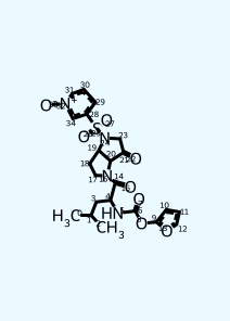 CC(C)CC(NC(=O)Oc1ccco1)C(=O)N1CCC2C1C(=O)CN2S(=O)(=O)c1ccc[n+]([O-])c1